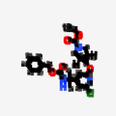 CC(C)(C)OC(=O)N1C[C@@H]2[C@H](C1)[C@@H]2Oc1cc(C(C)(C)NC(=O)OCc2ccccc2)cc(Cl)n1